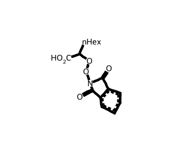 CCCCCCC(OON1C(=O)c2ccccc2C1=O)C(=O)O